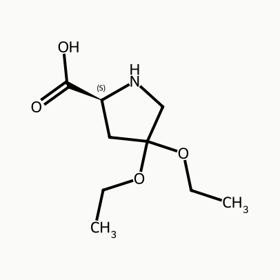 CCOC1(OCC)CN[C@H](C(=O)O)C1